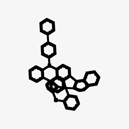 c1ccc(-c2ccc(N(c3ccc4c(c3)C3(c5ccccc5Oc5ccccc53)c3ccc5ccccc5c3-4)c3ccccc3-c3ccccc3)cc2)cc1